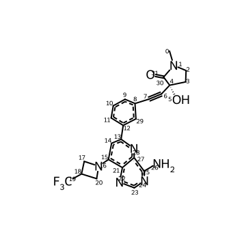 CN1CC[C@@](O)(C#Cc2cccc(-c3cc(N4CC(C(F)(F)F)C4)c4ncnc(N)c4n3)c2)C1=O